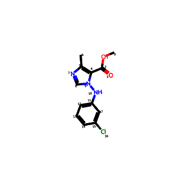 COC(=O)c1c(C)ncn1Nc1cccc(Cl)c1